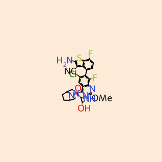 COc1nc(N2CC3CCC(C2)N3C(=O)[C@H]2N[C@@H]2O)c2cc(Cl)c(-c3ccc(F)c4sc(N)c(C#N)c34)c(F)c2n1